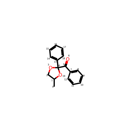 CC1COC(C(=O)c2ccccc2)(c2ccccc2)O1